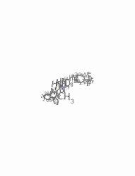 Cc1c(C(=N)/N=c2/ccc(CN3CCC(C(F)(F)F)CC3)c[nH]2)[nH]c2ccccc2c1=O